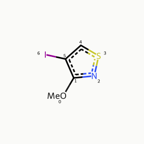 COc1nscc1I